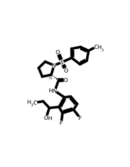 CCC(O)c1c(NC(=O)[C@@H]2CCCN2S(=O)(=O)c2ccc(C)cc2)ccc(F)c1F